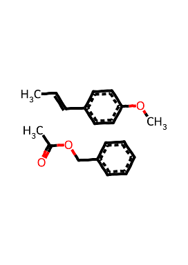 CC(=O)OCc1ccccc1.CC=Cc1ccc(OC)cc1